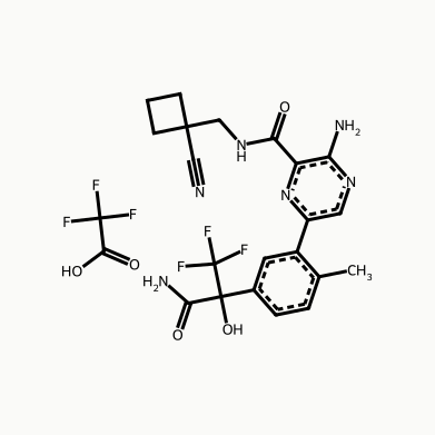 Cc1ccc(C(O)(C(N)=O)C(F)(F)F)cc1-c1cnc(N)c(C(=O)NCC2(C#N)CCC2)n1.O=C(O)C(F)(F)F